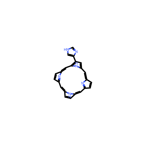 C1=Cc2cc3cc(-c4c[nH]cn4)c(cc4nc(cc5ccc(cc1n2)[nH]5)C=C4)[nH]3